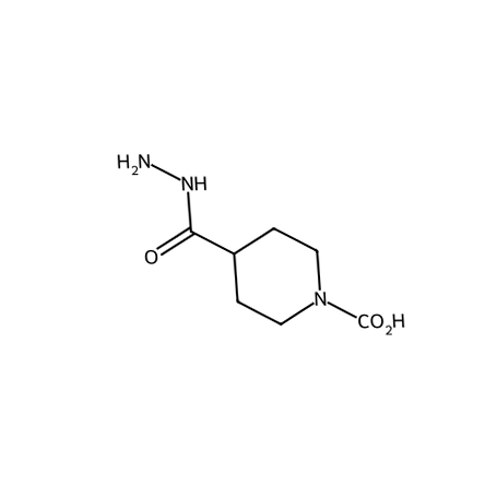 NNC(=O)C1CCN(C(=O)O)CC1